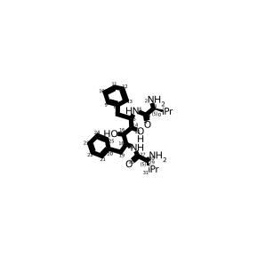 CC(C)[C@H](N)C(=O)NC(Cc1ccccc1)C(O)C(O)C(Cc1ccccc1)NC(=O)[C@@H](N)C(C)C